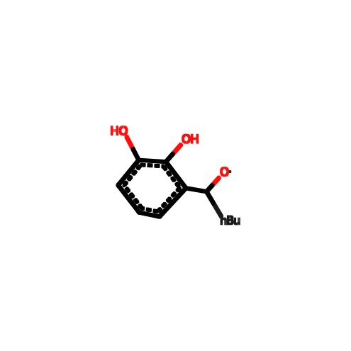 CCCCC([O])c1cccc(O)c1O